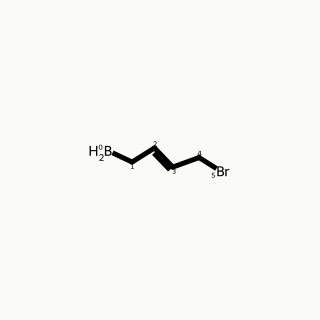 BC/C=C/CBr